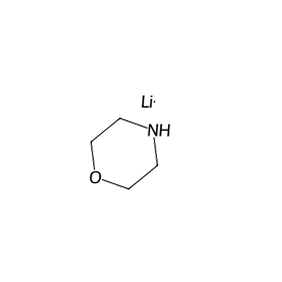 C1COCCN1.[Li]